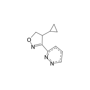 c1cnnc(C2=NOCC2C2CC2)c1